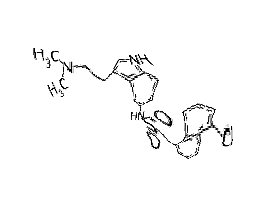 CN(C)CCc1c[nH]c2ccc(NS(=O)(=O)c3cccc4c(Cl)cccc34)cc12